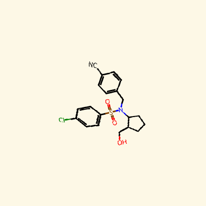 N#Cc1ccc(CN(C2CCCC2CO)S(=O)(=O)c2ccc(Cl)cc2)cc1